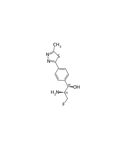 Cc1nnc(-c2ccc([C@@H](O)[C@H](N)CF)cc2)s1